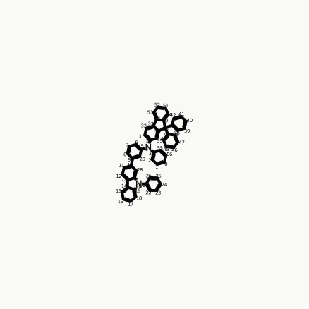 c1ccc(N(c2cccc(-c3ccc4c5ccccc5n(-c5ccccc5)c4c3)c2)c2ccc3c(c2)C(c2ccccc2)(c2ccccc2)c2ccccc2-3)cc1